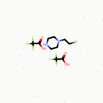 ClCCN1CCNCC1.O=C(O)C(F)(F)F.O=C(O)C(F)(F)F